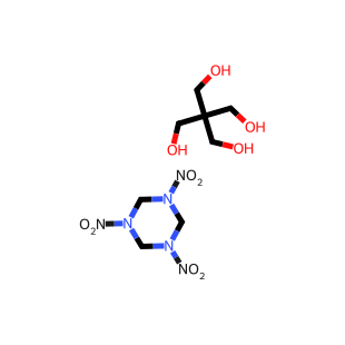 O=[N+]([O-])N1CN([N+](=O)[O-])CN([N+](=O)[O-])C1.OCC(CO)(CO)CO